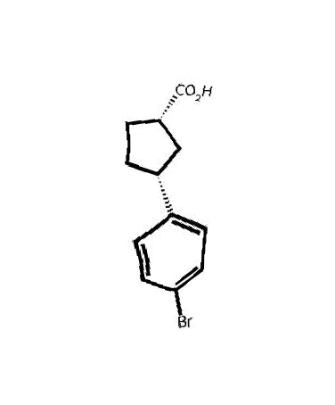 O=C(O)[C@H]1CC[C@@H](c2ccc(Br)cc2)C1